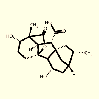 C[C@H]1C[C@]23C[C@H]1C[C@H](O)C2[C@]12CC[C@H](O)[C@](C)(C(=O)O1)[C@H]2[C@@H]3C(=O)O